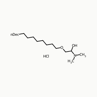 CCCCCCCCCCCCCCCCCCOCC(O)N(C)C.Cl